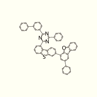 c1ccc(-c2cccc(-c3nc(-c4ccccc4)nc(-c4cccc5sc6cc(-c7cc(-c8ccccc8)cc8c7oc7ccccc78)ccc6c45)n3)c2)cc1